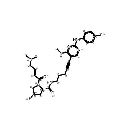 CNc1nc(Nc2ccc(F)cc2)ncc1C#CCCCNC(=O)[C@@H]1C[C@@H](F)CN1C(=O)C=CCN(C)C